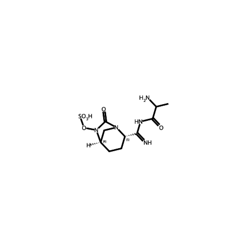 CC(N)C(=O)NC(=N)[C@@H]1CC[C@@H]2CN1C(=O)N2OS(=O)(=O)O